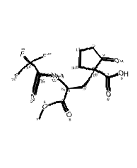 COC(=O)[C@H](C[C@@]1(C(=O)O)CCCC1=O)NC(=O)C(F)(F)F